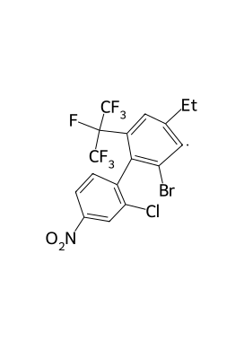 CCc1[c]c(Br)c(-c2ccc([N+](=O)[O-])cc2Cl)c(C(F)(C(F)(F)F)C(F)(F)F)c1